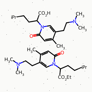 CCOC(=O)C(CCC(C)C)n1cc(CCN(C)C)c(C)cc1=O.Cc1cc(=O)n(C(CCC(C)C)C(=O)O)cc1CCN(C)C